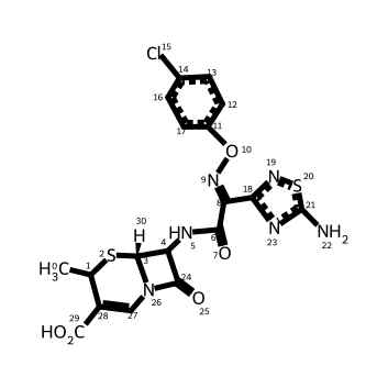 CC1S[C@@H]2C(NC(=O)C(=NOc3ccc(Cl)cc3)c3nsc(N)n3)C(=O)N2C=C1C(=O)O